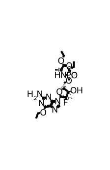 CCOC(=O)[C@H](C)NP(=O)(OC[C@H]1O[C@@H](n2cnc3c(OCC)nc(N)nc32)[C@](C)(F)[C@@H]1O)SCC